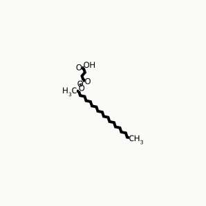 CCCCCCCCCCCCCCCCCCC(C)OOC(=O)CCC(=O)O